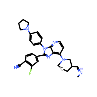 C/N=C\C1CCCN(c2ccnc3c2nc(-c2ccc(C#N)c(F)c2)n3-c2ccc(N3CCCC3)cc2)C1